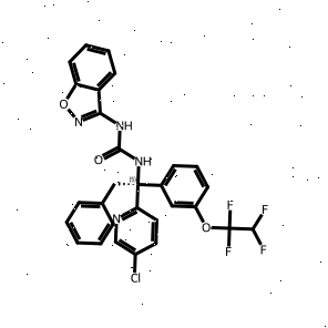 O=C(Nc1noc2ccccc12)N[C@@](Cc1ccccc1)(c1cccc(OC(F)(F)C(F)F)c1)c1ccc(Cl)cn1